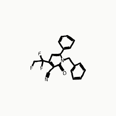 N#Cc1c(C(F)(F)CF)cc(-c2ccccc2)n(Cc2ccccc2)c1=O